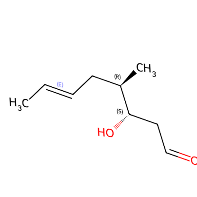 C/C=C/C[C@@H](C)[C@@H](O)CC=O